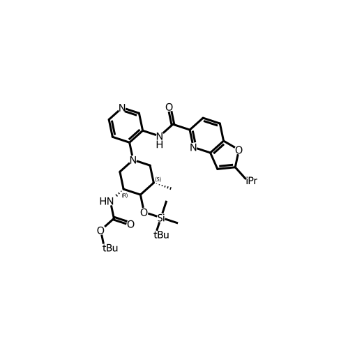 CC(C)c1cc2nc(C(=O)Nc3cnccc3N3C[C@H](C)C(O[Si](C)(C)C(C)(C)C)[C@H](NC(=O)OC(C)(C)C)C3)ccc2o1